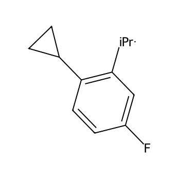 C[C](C)c1cc(F)ccc1C1CC1